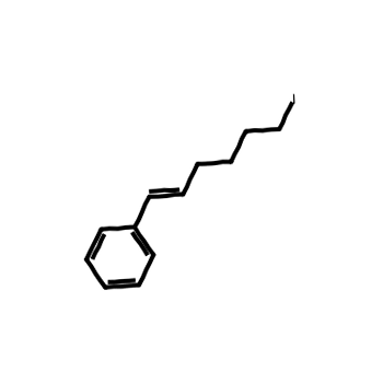 ICCCCC=Cc1ccccc1